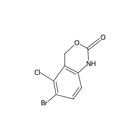 O=C1Nc2ccc(Br)c(Cl)c2CO1